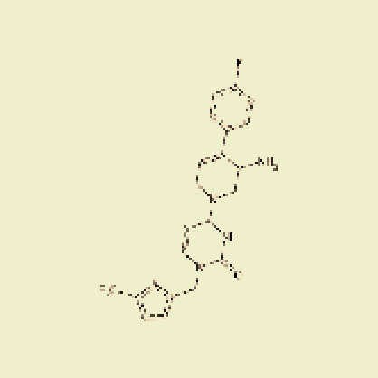 NC1CN(C2N=CN(Cc3ccc(C(F)(F)F)s3)C(=O)N2)CC=C1c1ccc(F)cc1